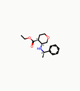 CCOC(=O)[C@H]1CCOC[C@H]1N[C@H](C)c1ccccc1